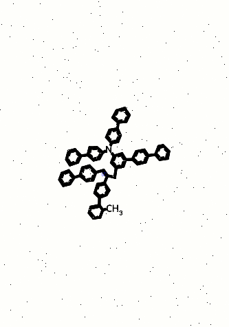 CC1CC=CC=C1c1ccc(/C(=C\c2ccc(-c3ccccc3)cc2)Cc2cc(-c3ccc(-c4ccccc4)cc3)cc(N(c3ccc(-c4ccccc4)cc3)c3ccc(-c4ccccc4)cc3)c2)cc1